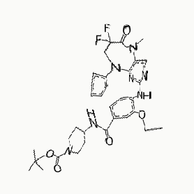 CCOc1cc(C(=O)NC2CCN(C(=O)OC(C)(C)C)CC2)ccc1Nc1ncc2c(n1)N(c1ccccc1)CC(F)(F)C(=O)N2C